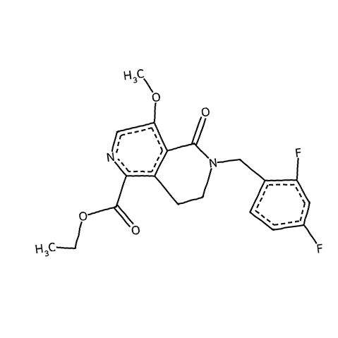 CCOC(=O)c1ncc(OC)c2c1CCN(Cc1ccc(F)cc1F)C2=O